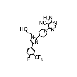 N#Cc1c(N)ncnc1N1CCC(c2nc(-c3ccc(F)c(C(F)(F)F)c3)cn2CCO)CC1